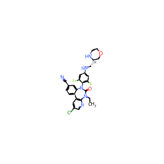 CCN1C(=O)N(c2c(F)cc(NC[C@H]3COCCN3)cc2F)c2cc(C#N)ccc2-c2cc(Cl)cnc21